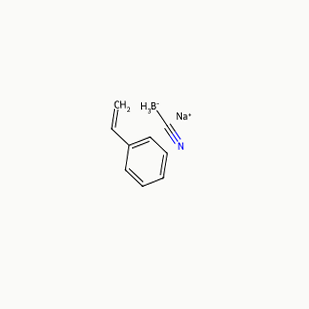 C=Cc1ccccc1.[BH3-]C#N.[Na+]